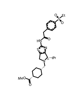 CCS(=O)(=O)c1ccc(CC(=O)Nc2nc3c(s2)CN(C[C@H]2CC[C@@H](C(=O)OC)CC2)[C@H]3C(C)C)cc1